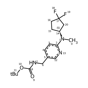 CN(c1ccc(CNC(=O)OC(C)(C)C)cn1)[C@H]1CCC(F)(F)C1